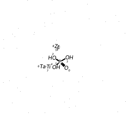 O=P(O)(O)O.[F].[Ta].[Ti].[Zr]